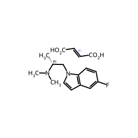 C[C@H](Cn1ccc2cc(F)ccc21)N(C)C.O=C(O)/C=C/C(=O)O